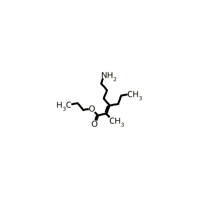 CCCOC(=O)C(C)=C(CCC)CCCN